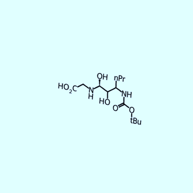 CCCC(NC(=O)OC(C)(C)C)C(O)[C@H](O)NCC(=O)O